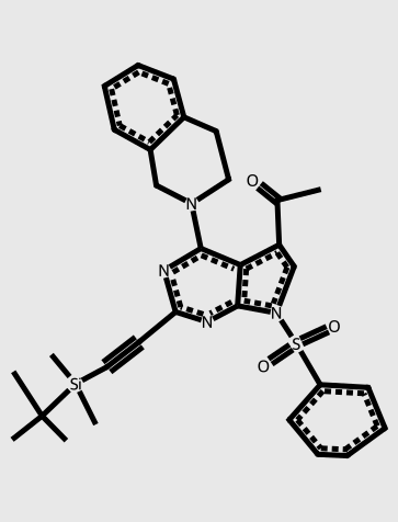 CC(=O)c1cn(S(=O)(=O)c2ccccc2)c2nc(C#C[Si](C)(C)C(C)(C)C)nc(N3CCc4ccccc4C3)c12